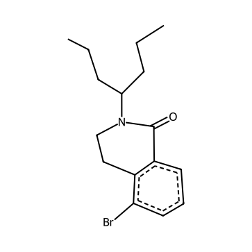 CCCC(CCC)N1CCc2c(Br)cccc2C1=O